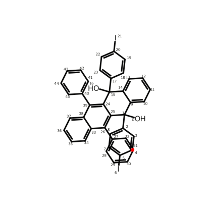 OC1(c2ccc(I)cc2)c2ccccc2C(O)(c2ccc(I)cc2)c2c1c(-c1ccccc1)c1ccccc1c2-c1ccccc1